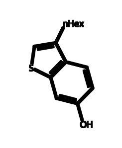 CCCCCCc1csc2cc(O)ccc12